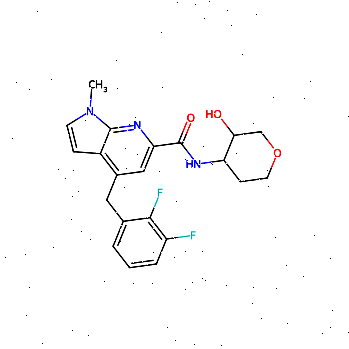 Cn1ccc2c(Cc3cccc(F)c3F)cc(C(=O)NC3CCOCC3O)nc21